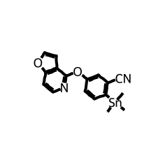 [CH3][Sn]([CH3])([CH3])[c]1ccc(Oc2nccc3occc23)cc1C#N